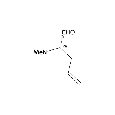 C=CC[C@@H](C=O)NC